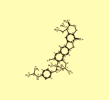 C=C1OCc2c(cc3n(c2=O)Cc2cc4c(CN(C)C)c([N+](C)(C)Cc5ccc(NC(C)C)cc5)c(F)cc4nc2-3)[C@@]1(O)CC